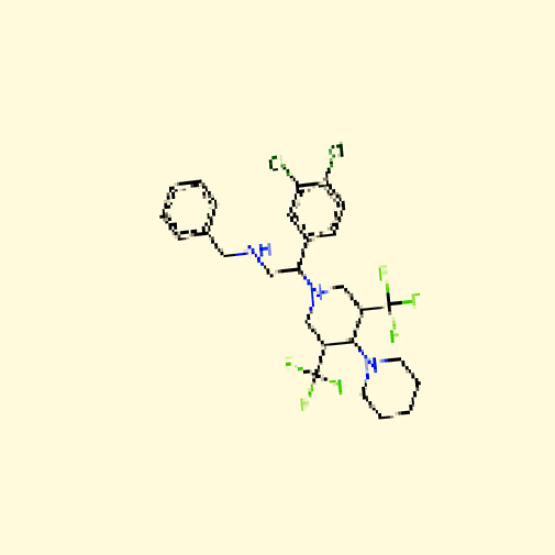 FC(F)(F)C1CN(C(CNCc2ccccc2)c2ccc(Cl)c(Cl)c2)CC(C(F)(F)F)C1N1CCCCC1